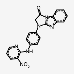 O=C1CN(c2ccc(Nc3ncccc3[N+](=O)[O-])cc2)c2nc3ccccc3n21